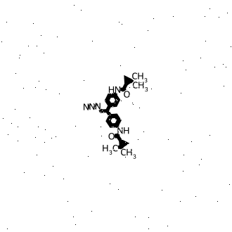 CC1(C)CC1C(=O)Nc1ccc(C(CN=[N+]=[N-])c2ccc(NC(=O)C3CC3(C)C)cc2)cc1